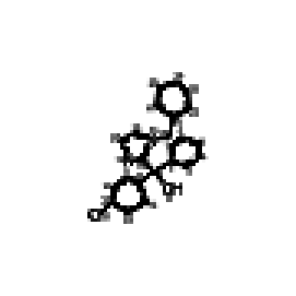 OC(c1ccccc1)(c1ccc(Cl)cc1)c1nccn1Cc1ccccc1